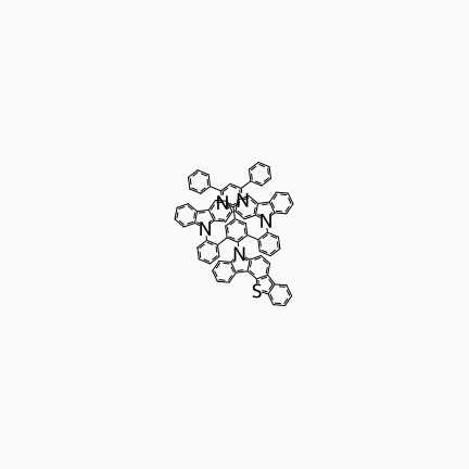 c1ccc(-c2cc(-c3ccccc3)nc(-c3cc(-c4ccccc4-n4c5ccccc5c5ccccc54)c(-n4c5ccccc5c5c6sc7ccccc7c6ccc54)c(-c4ccccc4-n4c5ccccc5c5ccccc54)c3)n2)cc1